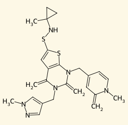 C=C1C=C(CN2C(=C)N(Cc3cnn(C)c3)C(=C)c3cc(SNC4(C)CC4)sc32)C=CN1C